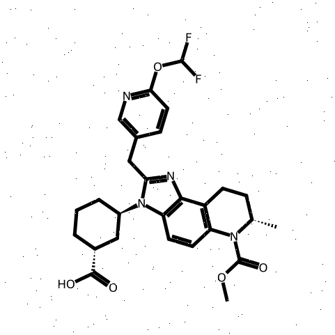 COC(=O)N1c2ccc3c(nc(Cc4ccc(OC(F)F)nc4)n3[C@@H]3CCC[C@@H](C(=O)O)C3)c2CC[C@@H]1C